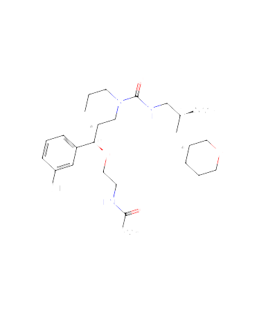 CN[C@H](CNC(=O)N1CCC[C@@H]([C@@H](OCCNC(=O)OC)c2cccc(C)c2)C1)C[C@H]1CCCOC1